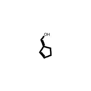 OC=C1C=CCC1